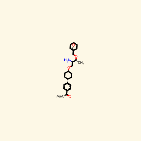 COC(=O)c1ccc([C@H]2CC[C@H](OC[C@@H](N)[C@@H](C)OCC34CCC(CC3)OC4)CC2)cc1